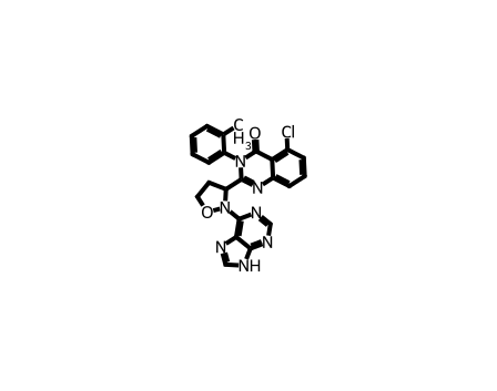 Cc1ccccc1-n1c(C2CCON2c2ncnc3[nH]cnc23)nc2cccc(Cl)c2c1=O